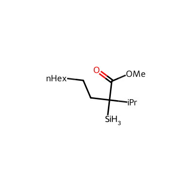 CCCCCCCCC([SiH3])(C(=O)OC)C(C)C